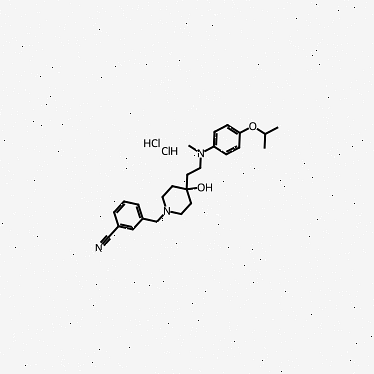 CC(C)Oc1ccc(N(C)CCC2(O)CCN(Cc3cccc(C#N)c3)CC2)cc1.Cl.Cl